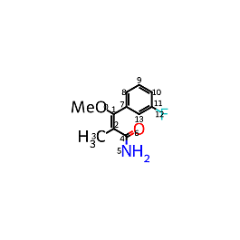 COC(=C(C)C(N)=O)c1cccc(F)c1